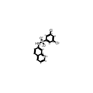 O=S(=O)(Nc1ccc2cccnc2c1)c1cc(Cl)cc(Cl)c1